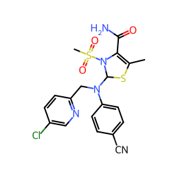 CC1=C(C(N)=O)N(S(C)(=O)=O)C(N(Cc2ccc(Cl)cn2)c2ccc(C#N)cc2)S1